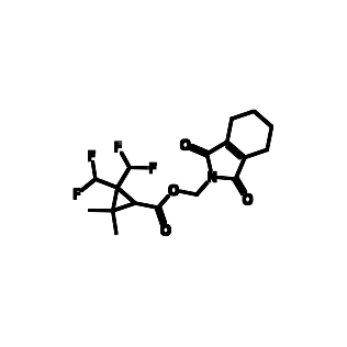 CC1(C)C(C(=O)OCN2C(=O)C3=C(CCCC3)C2=O)C1(C(F)F)C(F)F